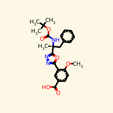 COc1ccc(C(=O)O)cc1-c1nnc([C@@](C)(Cc2ccccc2)NC(=O)OC(C)(C)C)o1